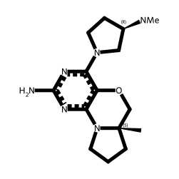 CN[C@@H]1CCN(c2nc(N)nc3c2OC[C@]2(C)CCCN32)C1